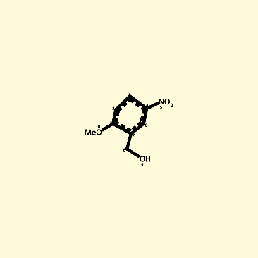 COc1ccc([N+](=O)[O-])cc1CO